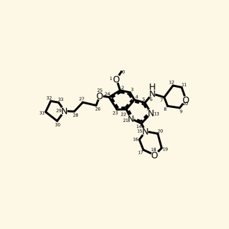 COc1cc2c(NC3CCOCC3)nc(N3CCOCC3)nc2cc1OCCCN1CCCC1